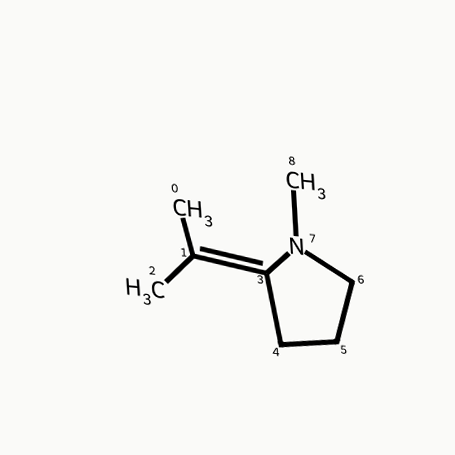 CC(C)=C1CCCN1C